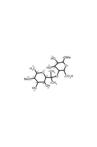 COC1OC(C(=O)O)C(OC(C)(C)C2OC(C)C(OC)C(O)C2O)C(O)C1O